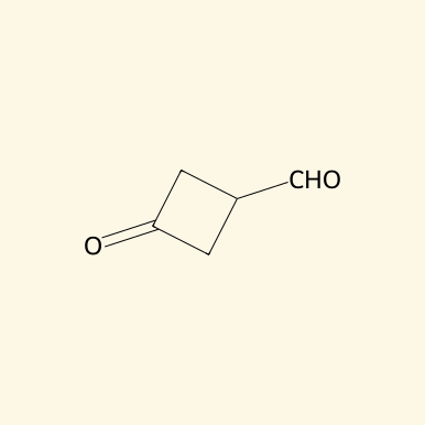 O=CC1CC(=O)C1